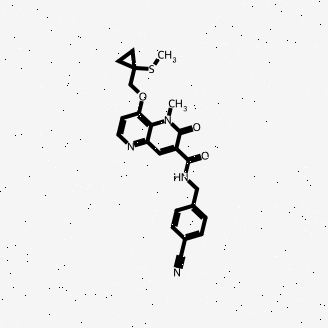 CSC1(COc2ccnc3cc(C(=O)NCc4ccc(C#N)cc4)c(=O)n(C)c23)CC1